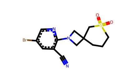 N#Cc1cc(Br)cnc1N1CC2(CCCS(=O)(=O)C2)C1